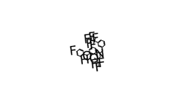 OC(CN(Cc1cccc(C(F)(F)C(F)(F)F)c1)c1cccc(Oc2ccc(F)cc2)c1)C(F)(F)F